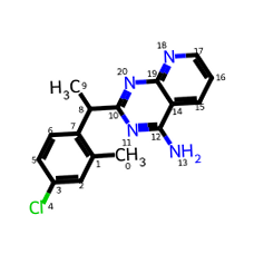 Cc1cc(Cl)ccc1C(C)c1nc(N)c2cccnc2n1